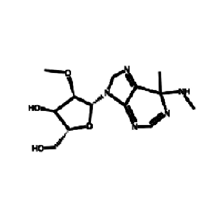 CNC1(C)N=CN=C2C1=NCN2[C@@H]1O[C@H](CO)[C@@H](O)[C@H]1OC